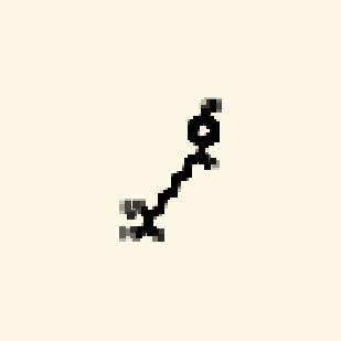 NC(CCCCCCC(=O)c1ccc(O)cc1)C(=O)O